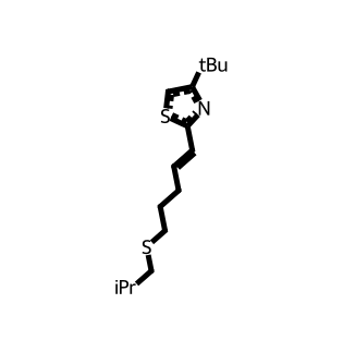 CC(C)CSCCC/C=C/c1nc(C(C)(C)C)cs1